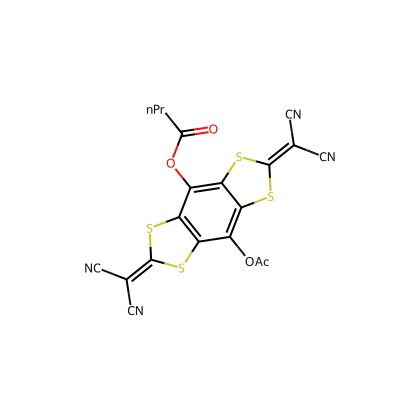 CCCC(=O)Oc1c2c(c(OC(C)=O)c3c1SC(=C(C#N)C#N)S3)SC(=C(C#N)C#N)S2